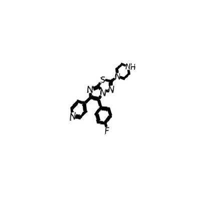 Fc1ccc(-c2c(-c3ccncc3)nc3sc(N4CCNCC4)nn23)cc1